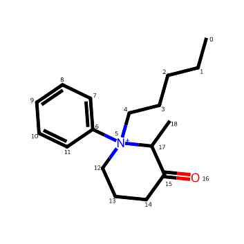 CCCCC[N+]1(c2ccccc2)CCCC(=O)C1C